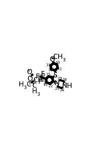 CC(C)(C)OC=O.COc1ccc(Sc2cc(C(F)(F)F)ccc2N2CCNCC2)cc1